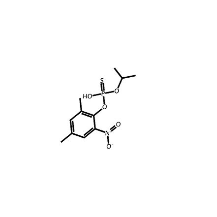 Cc1cc(C)c(OP(O)(=S)OC(C)C)c([N+](=O)[O-])c1